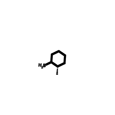 BC1CCCC[C@@H]1C